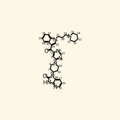 O=C(c1cc(N2CCC(n3c(=O)[nH]c4ncccc43)CC2)ncn1)c1cn(CCCN2CCCCC2)c2ccccc12